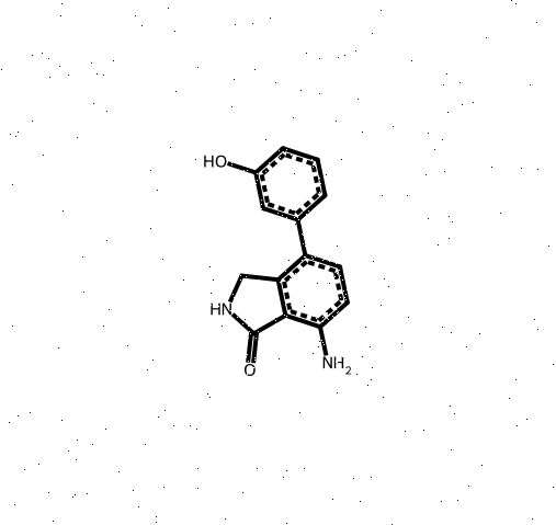 Nc1ccc(-c2cccc(O)c2)c2c1C(=O)NC2